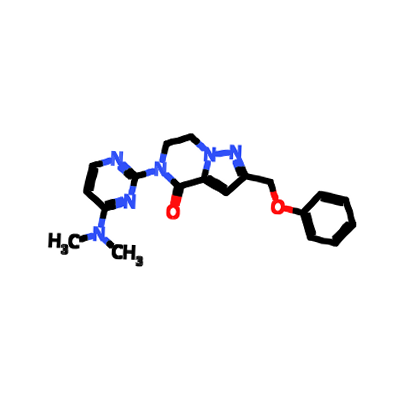 CN(C)c1ccnc(N2CCn3nc(COc4ccccc4)cc3C2=O)n1